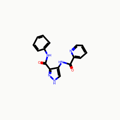 O=C(Nc1c[nH]nc1C(=O)Nc1ccccc1)c1ccccn1